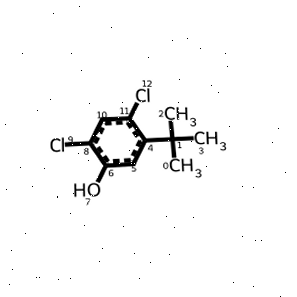 CC(C)(C)c1cc(O)c(Cl)cc1Cl